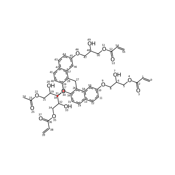 C=CC(=O)OCC(O)COc1ccc2ccc(OCC(O)COC(C)=O)c(Cc3c(OCC(O)COC(=O)C=C)ccc4ccc(OCC(O)COC(=O)C=C)cc34)c2c1